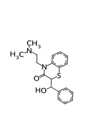 CN(C)CCN1C(=O)C(C(O)c2ccccc2)Sc2ccccc21